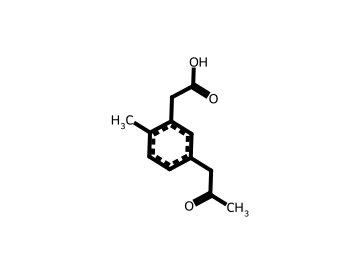 CC(=O)Cc1ccc(C)c(CC(=O)O)c1